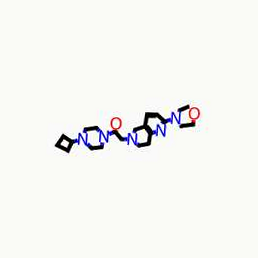 O=C(CN1CCc2nc(N3CCOCC3)ccc2C1)N1CCN(C2CCC2)CC1